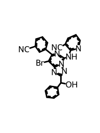 N#Cc1cccc(-c2nc(Nc3ncccc3C#N)n3nc(C(O)c4ccccc4)nc3c2Br)c1